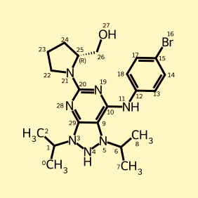 CC(C)N1NN(C(C)C)c2c(Nc3ccc(Br)cc3)nc(N3CCC[C@@H]3CO)nc21